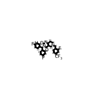 Cc1nc2c(c(=O)n1C(c1ccc(F)cc1)c1ccc(F)cc1)CN(Cc1ccc(C(F)(F)F)cc1F)CC2